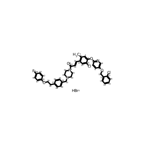 Br.Cc1cc(Oc2ccc(OCc3ccccc3Cl)cn2)c(Cl)cc1C=CC(=O)N1CCN(Cc2ccc(CCOc3ccc(F)cc3)cc2)CC1